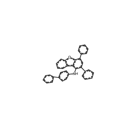 c1ccc(-c2ccc(Nc3c(-c4ccccc4)cc(-c4ccccc4)c4oc5ccccc5c34)cc2)cc1